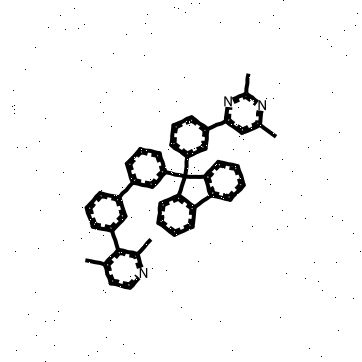 Cc1cc(-c2cccc(C3(c4cccc(-c5cccc(-c6c(C)ccnc6C)c5)c4)c4ccccc4-c4ccccc43)c2)nc(C)n1